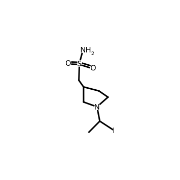 CC(I)N1CCC(CS(N)(=O)=O)C1